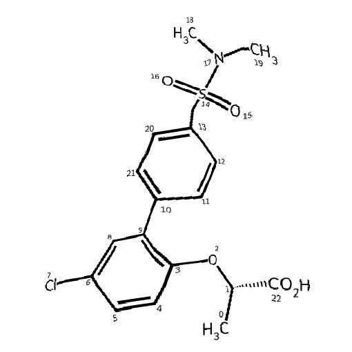 C[C@H](Oc1ccc(Cl)cc1-c1ccc(S(=O)(=O)N(C)C)cc1)C(=O)O